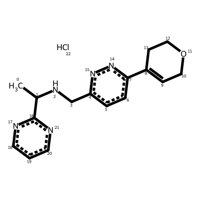 CC(NCc1ccc(C2=CCOCC2)nn1)c1ncccn1.Cl